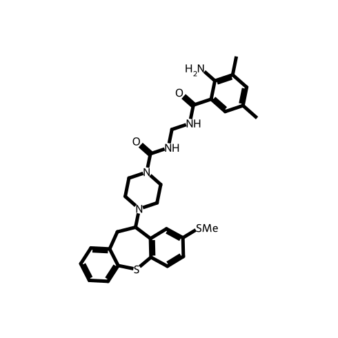 CSc1ccc2c(c1)C(N1CCN(C(=O)NCNC(=O)c3cc(C)cc(C)c3N)CC1)Cc1ccccc1S2